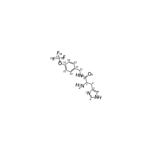 NC(Cc1c[nH]cn1)C(=O)NCc1ccc(OC(F)(F)F)cc1